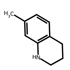 Cc1ccc2c(c1)NCCC2